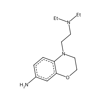 CCN(CC)CCN1CCOc2cc(N)ccc21